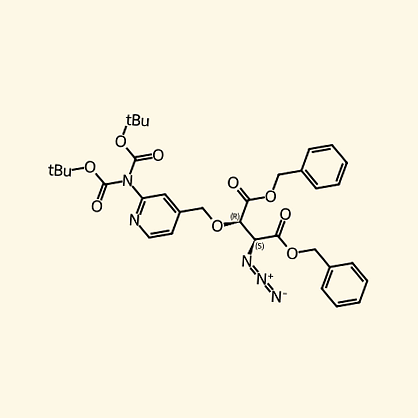 CC(C)(C)OC(=O)N(C(=O)OC(C)(C)C)c1cc(CO[C@@H](C(=O)OCc2ccccc2)[C@H](N=[N+]=[N-])C(=O)OCc2ccccc2)ccn1